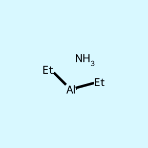 C[CH2][Al][CH2]C.N